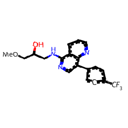 COCC(O)CNc1ncc(-c2ccc(C(F)(F)F)cc2)c2ncccc12